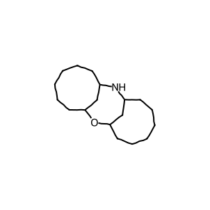 C1CCCC2CC(CC1)NC1CCCCCCC(C1)O2